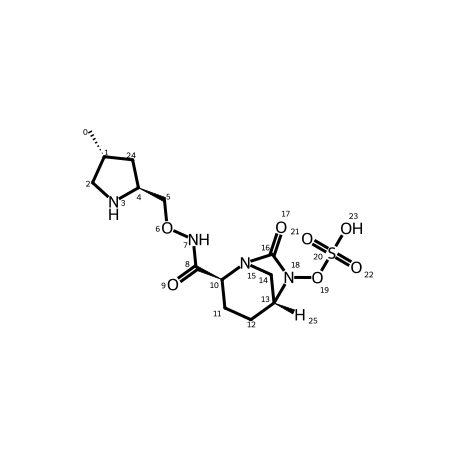 C[C@H]1CN[C@H](CONC(=O)[C@@H]2CC[C@@H]3CN2C(=O)N3OS(=O)(=O)O)C1